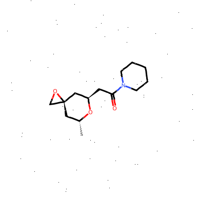 C[C@@H]1C[C@]2(CO2)C[C@@H](CC(=O)N2CCCCC2)O1